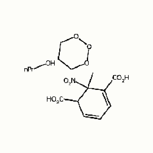 C1COOOC1.CC1([N+](=O)[O-])C(C(=O)O)=CC=CC1C(=O)O.CCCO